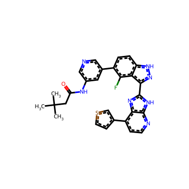 CC(C)(C)CC(=O)Nc1cncc(-c2ccc3[nH]nc(-c4nc5c(-c6ccsc6)ccnc5[nH]4)c3c2F)c1